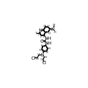 Cc1cc(NC(=O)Nc2ccc(N(CCCl)CCCl)cc2)c2cc(N(C)C)ccc2n1